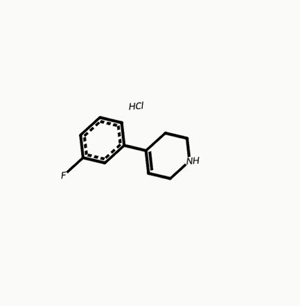 Cl.Fc1cccc(C2=CCNCC2)c1